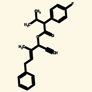 C#CC(OC(=O)C(c1ccc(F)cc1)C(C)C)/C(C)=C/Cc1ccccc1